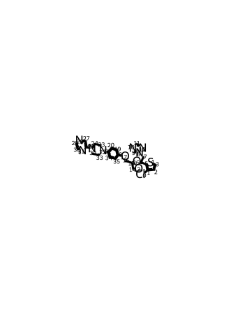 Clc1ccsc1C1(Cn2cncn2)OCC(COc2ccc(N3CCN(c4cnccn4)CC3)cc2)O1